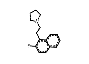 Fc1ccc2ccccc2c1CCN1CCCC1